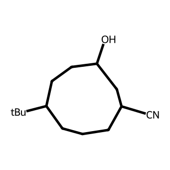 CC(C)(C)C1CCCC(C#N)CC(O)CC1